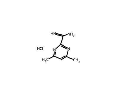 Cc1cc(C)nc(C(=N)N)n1.Cl